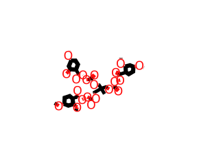 COc1ccc(C(=O)OOC(=O)OCC(C)(COC(=O)OOC(=O)c2ccc(OC)cc2OC)COC(=O)OOC(=O)c2ccc(OC)cc2OC)c(OC)c1